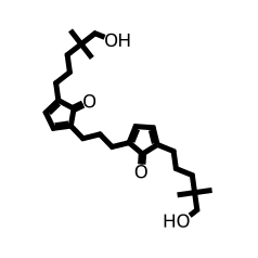 CC(C)(CO)CCCC1=CC=C(CCCC2=CC=C(CCCC(C)(C)CO)C2=O)C1=O